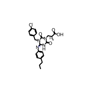 CCCc1ccc(/N=c2\[nH]c(=O)n(C[C@H](C)C(=O)O)c(=O)n2Cc2ccc(Cl)cc2)cc1